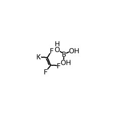 FC(F)=[C](F)[K].OB(O)O